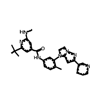 CNc1cc(C(=O)Nc2ccc(C)c(-n3ccn4nc(-c5cccnc5)cc34)c2)cc(C(C)(C)C)n1